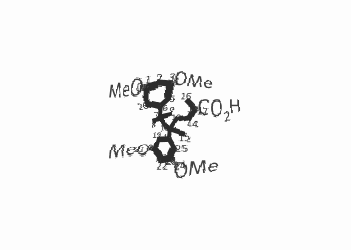 COc1cc(OC)cc(C(C)(C)CC(C)(CCC(C)C(=O)O)c2cc(OC)cc(OC)c2)c1